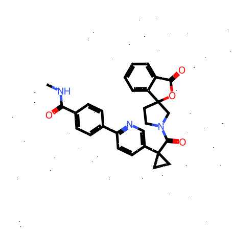 CNC(=O)c1ccc(-c2ccc(C3(C(=O)N4CCC5(C4)OC(=O)c4ccccc45)CC3)cn2)cc1